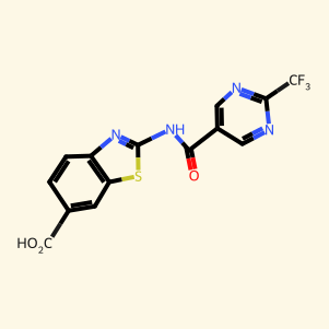 O=C(O)c1ccc2nc(NC(=O)c3cnc(C(F)(F)F)nc3)sc2c1